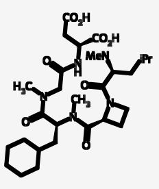 CN[C@@H](CC(C)C)C(=O)N1CC[C@H]1C(=O)N(C)[C@@H](CC1CCCCC1)C(=O)N(C)CC(=O)N[C@@H](CC(=O)O)C(=O)O